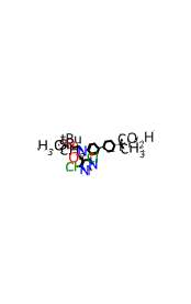 CC(C(=O)O)[C@H]1CC[C@H](c2ccc(N(CCO[Si](C)(C)C(C)(C)C)C(=O)c3c(Cl)ncnc3Cl)cc2)CC1